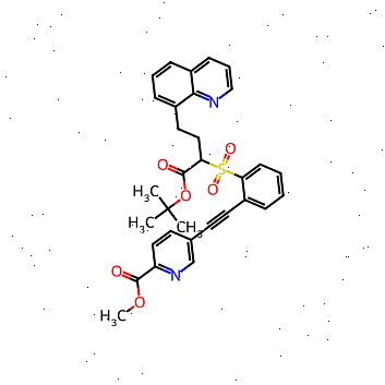 COC(=O)c1ccc(C#Cc2ccccc2S(=O)(=O)C(CCc2cccc3cccnc23)C(=O)OC(C)(C)C)cn1